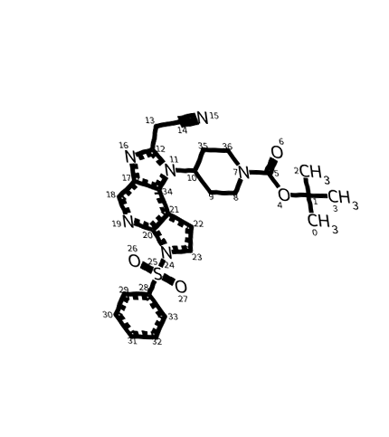 CC(C)(C)OC(=O)N1CCC(n2c(CC#N)nc3cnc4c(ccn4S(=O)(=O)c4ccccc4)c32)CC1